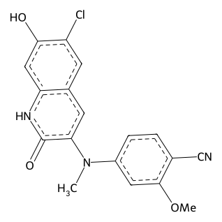 COc1cc(N(C)c2cc3cc(Cl)c(O)cc3[nH]c2=O)ccc1C#N